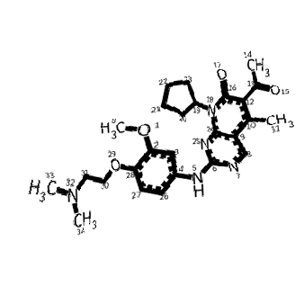 COc1cc(Nc2ncc3c(C)c(C(C)=O)c(=O)n(C4CCCC4)c3n2)ccc1OCCN(C)C